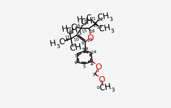 COCOc1cccc(C2=C(C(C)(C)C)C(C)(C)C(C(C)(C)C)O2)c1